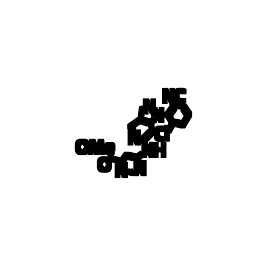 COC(=O)c1cc(Nc2cc3c(cn2)cnn3-c2c(Cl)cccc2C#N)ncn1